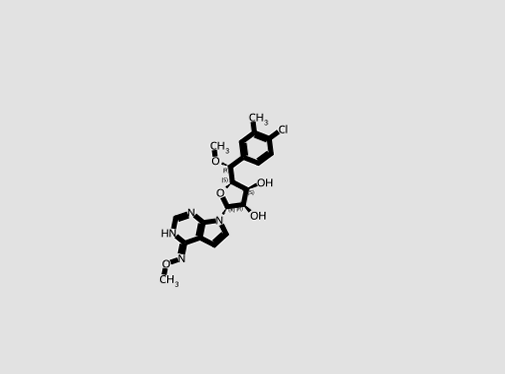 CON=c1[nH]cnc2c1ccn2[C@@H]1O[C@H]([C@H](OC)c2ccc(Cl)c(C)c2)[C@@H](O)[C@H]1O